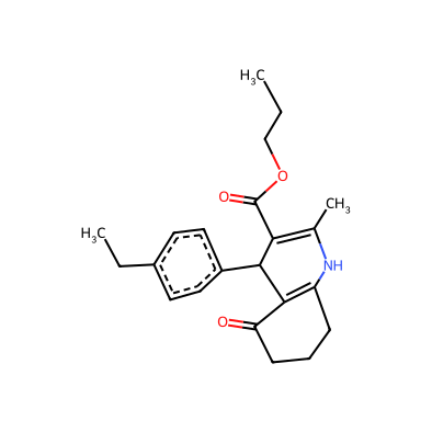 CCCOC(=O)C1=C(C)NC2=C(C(=O)CCC2)C1c1ccc(CC)cc1